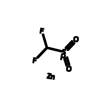 O=[SH](=O)C(F)F.[Zn]